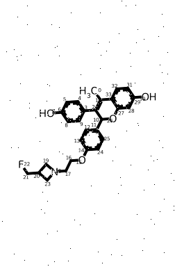 CC1=C(c2ccc(O)cc2)C(c2ccc(OCCN3CC(CF)C3)cc2)Oc2cc(O)ccc21